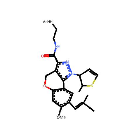 COc1cc2c(cc1C=C(C)C)-c1c(c(C(=O)NCCNC(C)=O)nn1C1C=CSC1C)CO2